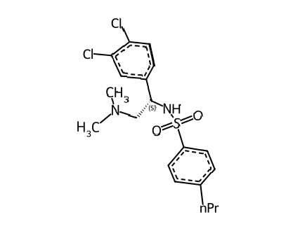 CCCc1ccc(S(=O)(=O)N[C@H](CN(C)C)c2ccc(Cl)c(Cl)c2)cc1